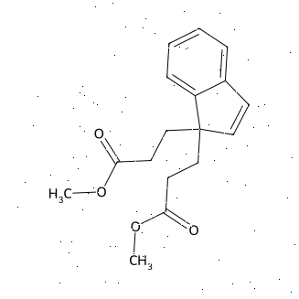 COC(=O)CCC1(CCC(=O)OC)C=Cc2ccccc21